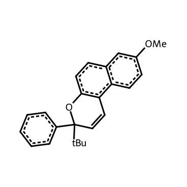 COc1ccc2c3c(ccc2c1)OC(c1ccccc1)(C(C)(C)C)C=C3